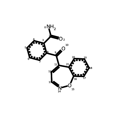 NC(=O)c1ccccc1C(=O)C1=CC=NOc2ccccc21